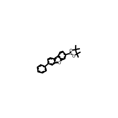 CC1(C)OB(c2ccc3c(c2)oc2cc(-c4ccccc4)ccc23)OC1(C)C